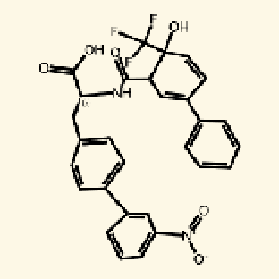 O=C(N[C@@H](Cc1ccc(-c2cccc([N+](=O)[O-])c2)cc1)C(=O)O)C1C=C(c2ccccc2)C=CC1(O)C(F)(F)F